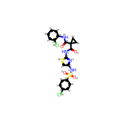 O=C(Nc1nc(NS(=O)(=O)c2ccc(Cl)cc2)cs1)C1(C(=O)Nc2ccccc2Cl)CC1